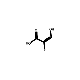 O=C(O)/C(F)=C\O